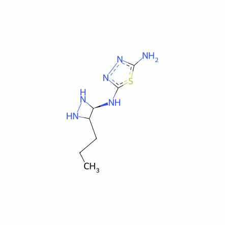 CCCC1NN[C@H]1Nc1nnc(N)s1